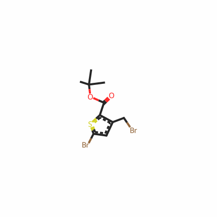 CC(C)(C)OC(=O)c1sc(Br)cc1CBr